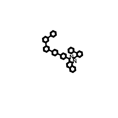 c1ccc(-c2cccc(-c3cccc(-c4ccc(-c5ccc(-c6nc(-c7ccccc7-c7ccccc7)nc7c6ccc6ccccc67)cc5)cc4)c3)c2)cc1